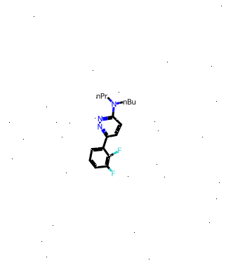 CCCCN(CCC)c1ccc(-c2cccc(F)c2F)nn1